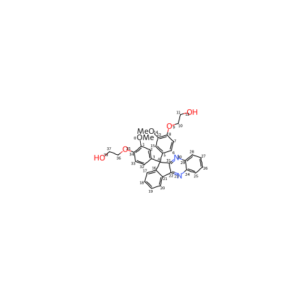 COc1cc(C2(c3ccc(OCCO)c(OC)c3)c3ccccc3-c3nc4ccccc4nc32)ccc1OCCO